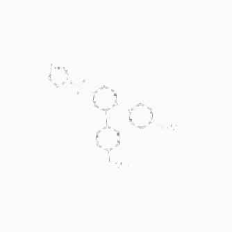 COc1ccc(-c2ccc(S(=O)(=O)n3ccnc3)cc2-c2ccc(OC)cc2)cc1